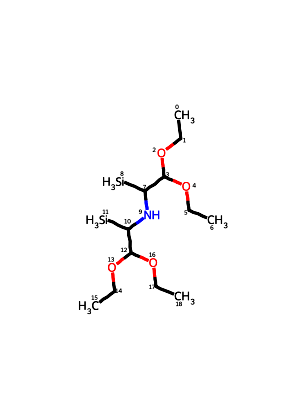 CCOC(OCC)C([SiH3])NC([SiH3])C(OCC)OCC